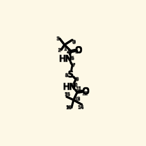 CC(C)(C)C(=O)NCSCNC(=O)C(C)(C)C